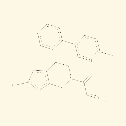 C=CC(=O)N1Cc2sc(Cl)cc2[C@H](c2ccccc2-c2ccc(F)nc2)C1